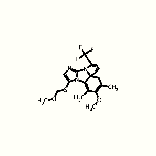 COCSc1cnc2n1C1=C(C)C(OC)=C(C)CC13C=CC=C(C(F)(F)F)N23